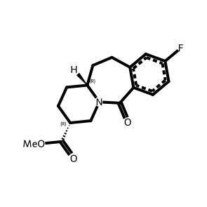 COC(=O)[C@@H]1CC[C@@H]2CCc3cc(F)ccc3C(=O)N2C1